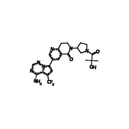 CC(C)(O)C(=O)N1CCC(N2CCc3ncc(-c4cc(C(F)(F)F)c5c(N)ncnn45)cc3C2=O)C1